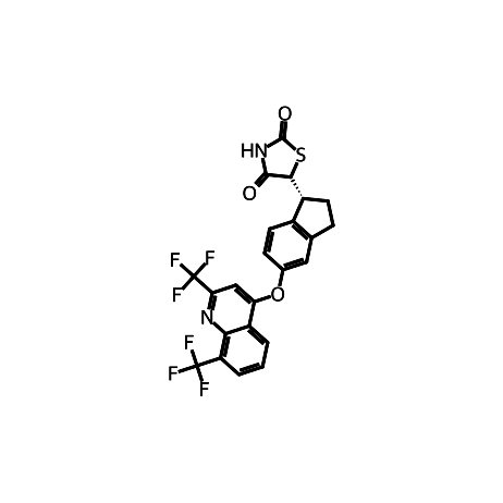 O=C1NC(=O)C([C@@H]2CCc3cc(Oc4cc(C(F)(F)F)nc5c(C(F)(F)F)cccc45)ccc32)S1